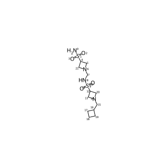 NS(=O)(=O)C1CN(CNS(=O)(=O)C2CN(CC3CCC3)C2)C1